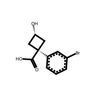 O=C(O)[C@]1(c2cccc(Br)c2)C[C@@H](O)C1